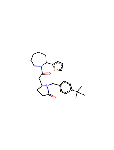 CC(C)(C)c1ccc(CN2C(=O)CCC2CC(=O)N2CCCCCC2c2cccs2)cc1